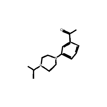 CC(=O)c1cccc(N2CCN(C(C)C)CC2)c1